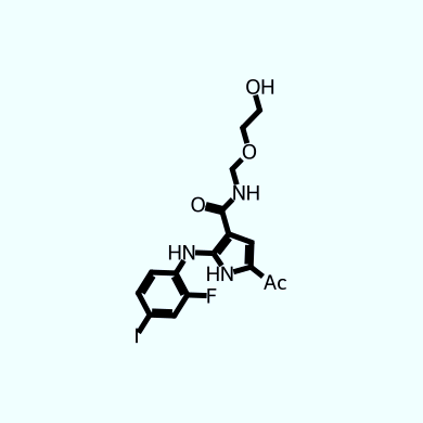 CC(=O)c1cc(C(=O)NCOCCO)c(Nc2ccc(I)cc2F)[nH]1